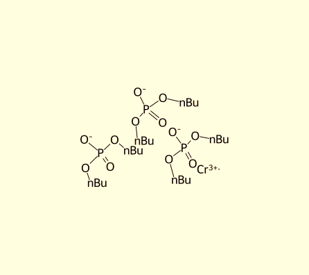 CCCCOP(=O)([O-])OCCCC.CCCCOP(=O)([O-])OCCCC.CCCCOP(=O)([O-])OCCCC.[Cr+3]